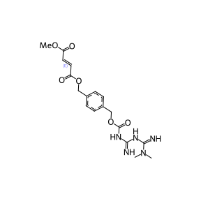 COC(=O)/C=C/C(=O)OCc1ccc(COC(=O)NC(=N)NC(=N)N(C)C)cc1